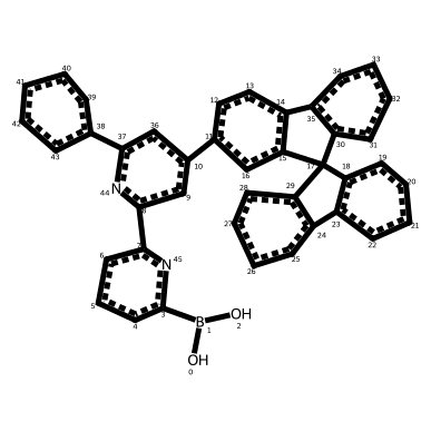 OB(O)c1cccc(-c2cc(-c3ccc4c(c3)C3(c5ccccc5-c5ccccc53)c3ccccc3-4)cc(-c3ccccc3)n2)n1